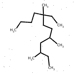 CCCCC(C)([CH]CC(C)CC(C)CC)CC